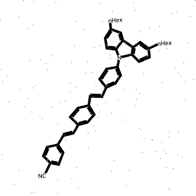 CCCCCCc1ccc2c(c1)c1cc(CCCCCC)ccc1n2-c1ccc(/C=C/c2ccc(/C=C/c3ccc(C#N)cc3)cc2)cc1